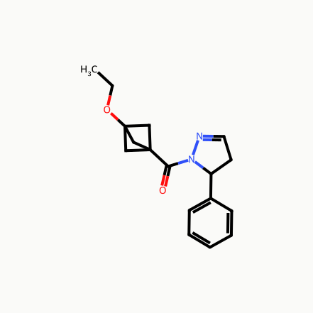 CCOC12CC(C(=O)N3N=CCC3c3ccccc3)(C1)C2